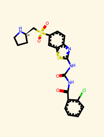 O=C(NC(=O)c1ccccc1Cl)Nc1nc2ccc(S(=O)(=O)C[C@H]3CCCN3)cc2s1